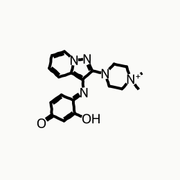 C[N+]1(C)CCN(c2nn3ccccc3c2/N=C2\C=CC(=O)C=C2O)CC1